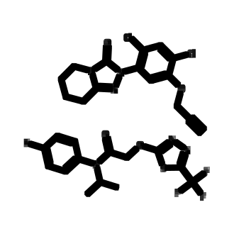 C#CCOc1cc(-n2nc3n(c2=O)CCCC3)c(Cl)cc1Cl.CC(C)N(C(=O)COc1nnc(C(F)(F)F)s1)c1ccc(F)cc1